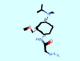 COC[C@@H]1C[C@H](N(C)C(C)C)CC[C@@H]1NC(=O)CN